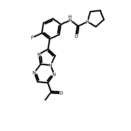 CC(=O)c1cnc2nc(-c3cc(NC(=O)N4CCCC4)ccc3F)cn2n1